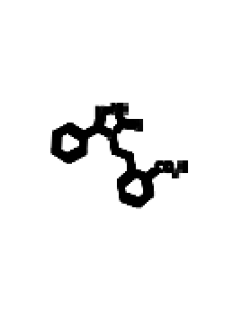 O=C(O)c1ccccc1CCn1c(-c2ccccc2)n[nH]c1=S